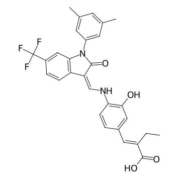 CC/C(=C\c1ccc(N/C=C2\C(=O)N(c3cc(C)cc(C)c3)c3cc(C(F)(F)F)ccc32)c(O)c1)C(=O)O